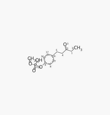 CCC(=O)CCc1ccc(OP(=O)(O)OC)cc1